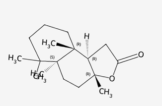 CC1(C)CCC[C@]2(C)[C@H]3CC(=O)O[C@]3(C)CC[C@@]12C